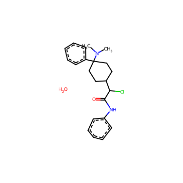 CN(C)C1(c2ccccc2)CCC(C(Cl)C(=O)Nc2ccccc2)CC1.O